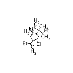 C=C(CC)c1cc(N)c(C(C)(C(=C)CC)C(=C)CC)cc1Cl